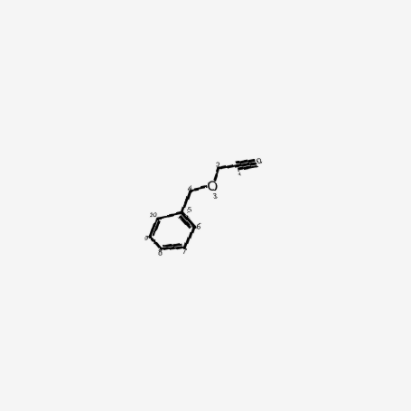 [C]#CCOCc1ccccc1